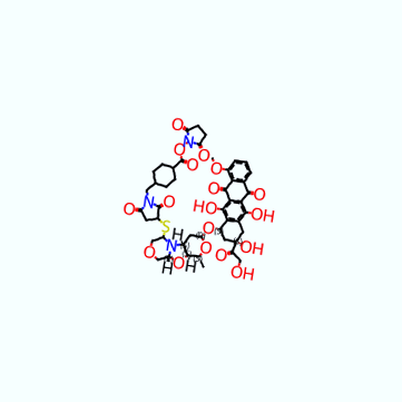 COc1cccc2c1C(=O)c1c(O)c3c(c(O)c1C2=O)C[C@@](O)(C(=O)CO)C[C@@H]3O[C@H]1C[C@H]2[C@H](O[C@@H]3COCC(SC4CC(=O)N(CC5CCC(C(=O)ON6C(=O)CCC6=O)CC5)C4=O)N32)[C@H](C)O1